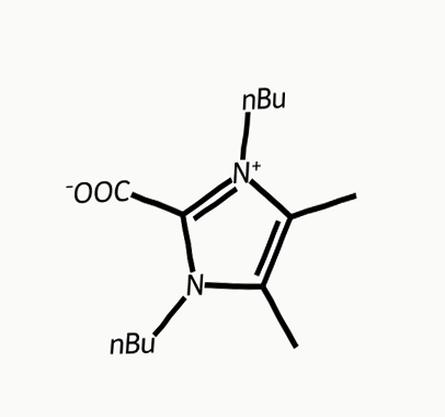 CCCCn1c(C)c(C)[n+](CCCC)c1C(=O)[O-]